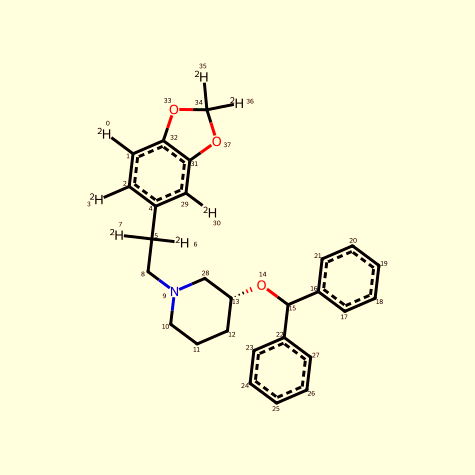 [2H]c1c([2H])c(C([2H])([2H])CN2CCC[C@@H](OC(c3ccccc3)c3ccccc3)C2)c([2H])c2c1OC([2H])([2H])O2